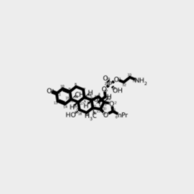 CCCC1O[C@@H]2C[C@H]3[C@@H]4CCC5=CC(=O)C=C[C@]5(C)[C@H]4[C@@H](O)C[C@]3(C)[C@]2(C(=O)COP(=O)(O)OCCN)O1